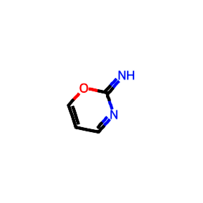 N=c1nccco1